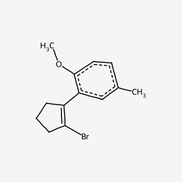 COc1ccc(C)cc1C1=C(Br)CCC1